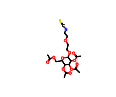 CC(=O)OCC1OC(OCCOCCN=C=S)C(OC(C)=O)C(OC(C)=O)C1OC(C)=O